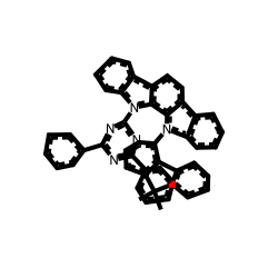 CC1(C)c2ccccc2-c2c(-n3c4ccccc4c4ccc5c6ccccc6n(-c6nc(-c7ccccc7)nc(-c7ccccc7)n6)c5c43)cccc21